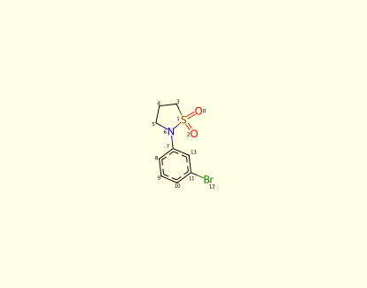 O=S1(=O)CCCN1c1[c]ccc(Br)c1